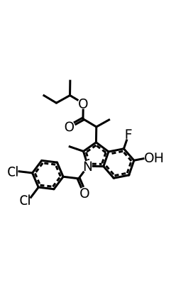 CCC(C)OC(=O)C(C)c1c(C)n(C(=O)c2ccc(Cl)c(Cl)c2)c2ccc(O)c(F)c12